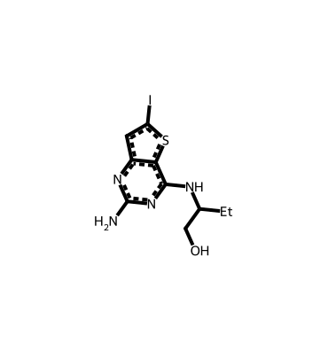 CCC(CO)Nc1nc(N)nc2cc(I)sc12